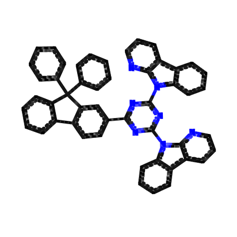 c1ccc(C2(c3ccccc3)c3ccccc3-c3ccc(-c4nc(-n5c6ccccc6c6cccnc65)nc(-n5c6ccccc6c6cccnc65)n4)cc32)cc1